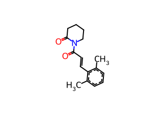 Cc1cccc(C)c1C=CC(=O)N1CCCCC1=O